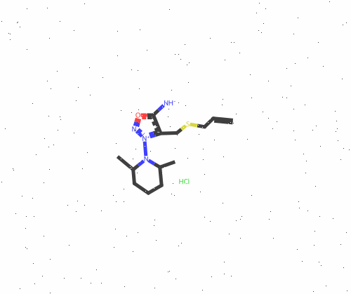 C=CCSCc1c([NH-])on[n+]1N1C(C)CCCC1C.Cl